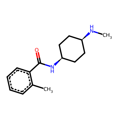 CN[C@H]1CC[C@@H](NC(=O)c2ccccc2C)CC1